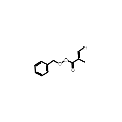 CCC=C(C)C(=O)OOCc1ccccc1